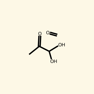 C=O.CC(=O)C(O)O